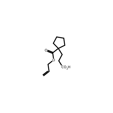 C=CCOC(=O)C1(CCC(=O)O)CCCC1